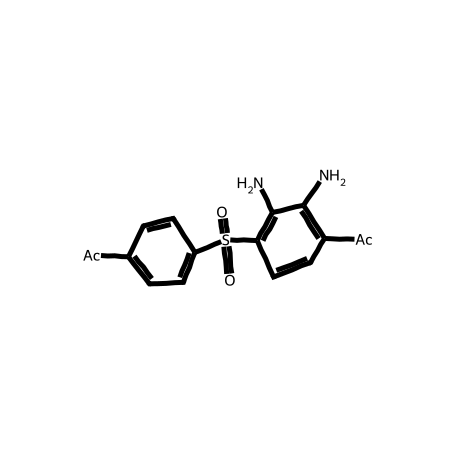 CC(=O)c1ccc(S(=O)(=O)c2ccc(C(C)=O)c(N)c2N)cc1